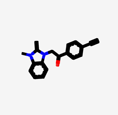 C#Cc1ccc(C(=O)CN2C(=C)N(C)c3ccccc32)cc1